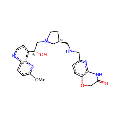 COc1ccc2nccc([C@@H](O)CN3CC[C@@H](CNCc4ccc5c(n4)NC(=O)CO5)C3)c2n1